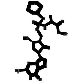 C=C1[C@H](CO[P@@](=O)(NC(C)C(=O)OC(C)C)Oc2ccccc2)[C@@H](O)C[C@@H]1n1cnc2c(=O)[nH]c(N)nc21